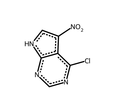 O=[N+]([O-])c1c[nH]c2ncnc(Cl)c12